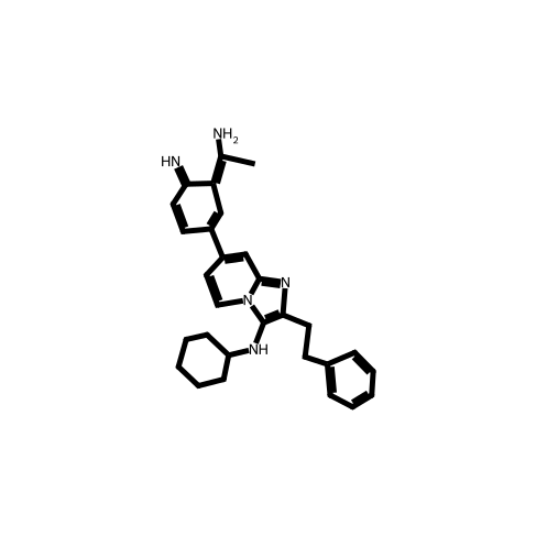 C/C(N)=C1\C=C(c2ccn3c(NC4CCCCC4)c(CCc4ccccc4)nc3c2)C=CC1=N